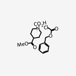 COC(=O)C1CCN(C(=O)O)CC1.O=C(Cl)OCc1ccccc1